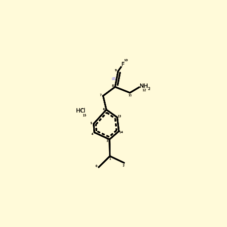 CC(C)c1ccc(C/C(=C/F)CN)cc1.Cl